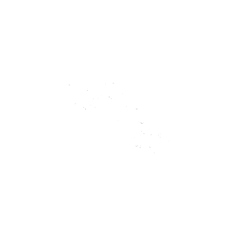 O=C([C@H]1CC[C@H](Cn2cnc3ccccc32)CC1)N1OCC[C@H]1c1cncc(F)c1